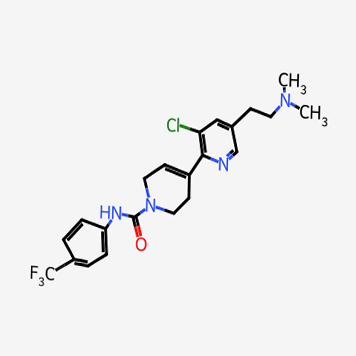 CN(C)CCc1cnc(C2=CCN(C(=O)Nc3ccc(C(F)(F)F)cc3)CC2)c(Cl)c1